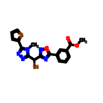 COC(=O)c1cccc(-c2nc(C(S)c3nnc(-c4cccs4)n3C)no2)c1